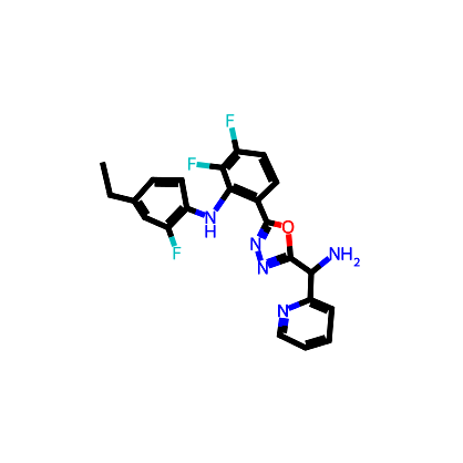 CCc1ccc(Nc2c(-c3nnc(C(N)c4ccccn4)o3)ccc(F)c2F)c(F)c1